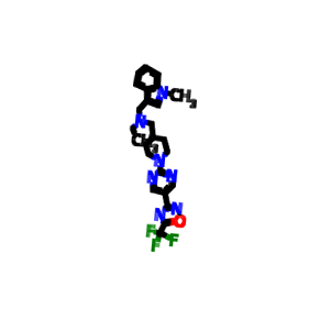 CCN(Cc1cn(C)c2ccccc12)CC1CCN(c2ncc(-c3noc(C(F)(F)F)n3)cn2)CC1